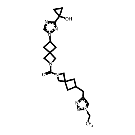 O=C(N1CC2(CC(Cc3cn(CC(F)(F)F)nn3)C2)C1)N1CC2(CC(n3cnc(C4(O)CC4)n3)C2)C1